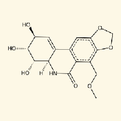 COCc1c2c(cc3c1C(=O)N[C@@H]1C3=C[C@H](O)[C@@H](O)[C@H]1O)OCO2